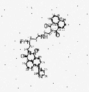 CC(C)N(CCCNCCN1C(=O)c2cccc3cccc(c23)C1=O)CCN1C(=O)c2cccc3c(-n4ccnc4)ccc(c23)C1=O